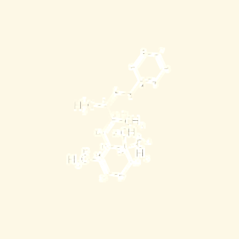 CC(=CCc1ccccc1)/C(C)=C/C1C(C)=CCCC1(C)C